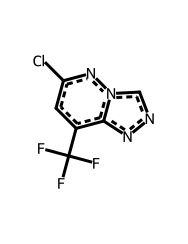 FC(F)(F)c1cc(Cl)nn2cnnc12